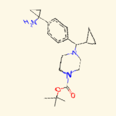 CC(C)(C)OC(=O)N1CCN(C(c2ccc(C3(N)CC3)cc2)C2CC2)CC1